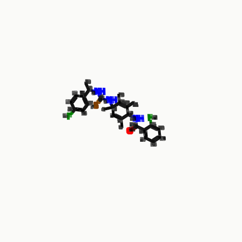 CC1=CC(C)(NC(=S)NC(C)c2ccc(F)cc2)C(C)=C(C)C1NC(=O)c1ccccc1F